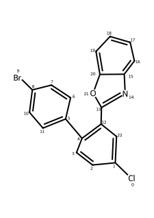 Clc1ccc(-c2ccc(Br)cc2)c(-c2nc3ccccc3o2)c1